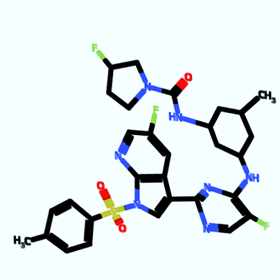 Cc1ccc(S(=O)(=O)n2cc(-c3ncc(F)c(NC4CC(C)CC(NC(=O)N5CCC(F)C5)C4)n3)c3cc(F)cnc32)cc1